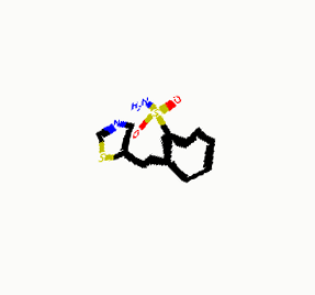 NS(=O)(=O)c1ccccc1Cc1cncs1